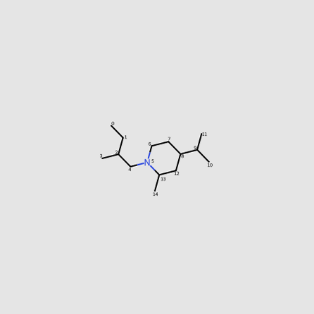 CCC(C)CN1CCC(C(C)C)CC1C